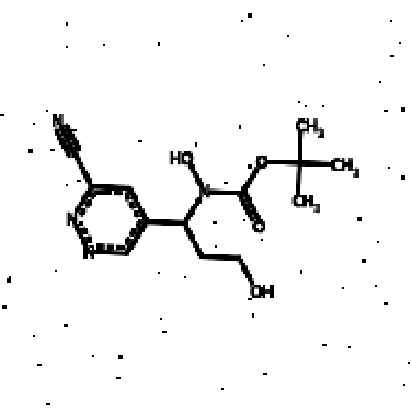 CC(C)(C)OC(=O)N(O)C(CCO)c1cnnc(C#N)c1